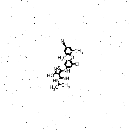 Cc1cc(C#N)cc(C)c1Oc1ccc(Nc2snc(O)c2C(=N)NC(C)C)cc1Cl